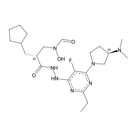 CCc1nc(NNC(=O)[C@H](CC2CCCC2)CN(O)C=O)c(F)c(N2CC[C@@H](N(C)C)C2)n1